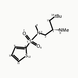 CN[C@H](CN(C)S(=O)(=O)c1cccs1)CC(C)(C)C